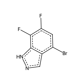 Fc1cc(Br)c2cn[nH]c2c1F